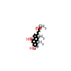 COC(=O)CCCC1CCC2C3C(O)CC4CC(O)C(F)=CC4(C)C3CCC12C